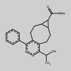 CNC(=O)C1C2CCc3c(-c4ccccc4)nnc(C(C)O)c3CCC21